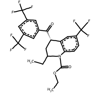 CCOC(=O)N1c2ccc(C(F)(F)F)cc2[C@@H](C(=O)c2cc(C(F)(F)F)cc(C(F)(F)F)c2)CC1CC